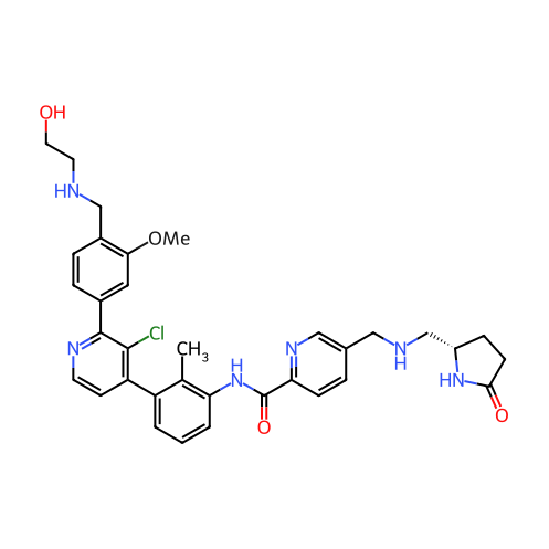 COc1cc(-c2nccc(-c3cccc(NC(=O)c4ccc(CNC[C@@H]5CCC(=O)N5)cn4)c3C)c2Cl)ccc1CNCCO